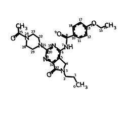 CCCN1Cc2c(NC(=O)c3ccc(OCC)cc3)nc(N3CCN(C(C)=O)CC3)nc2C1=O